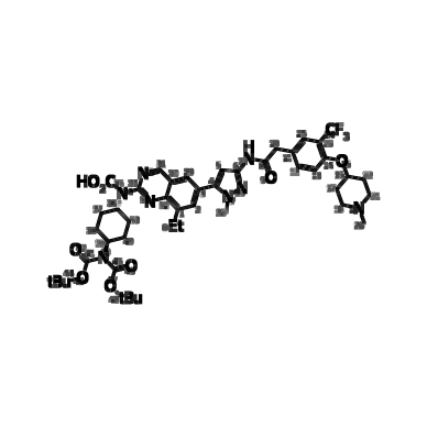 CCc1cc(-c2cc(NC(=O)Cc3ccc(OC4CCN(C)CC4)c(C(F)(F)F)c3)nn2C)cc2cnc(N(C(=O)O)[C@H]3CC[C@H](N(C(=O)OC(C)(C)C)C(=O)OC(C)(C)C)CC3)nc12